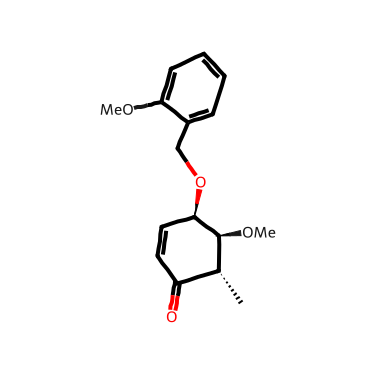 COc1ccccc1CO[C@@H]1C=CC(=O)[C@@H](C)[C@@H]1OC